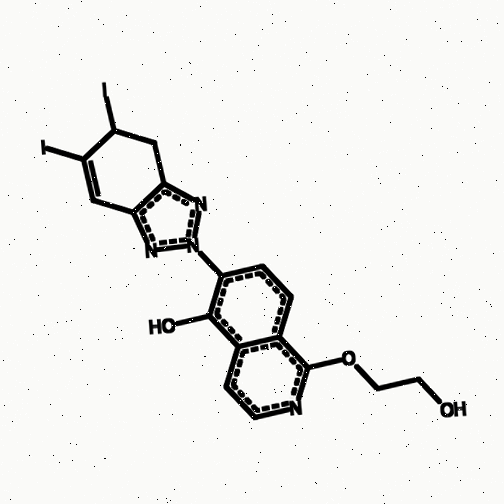 OCCOc1nccc2c(O)c(-n3nc4c(n3)CC(I)C(I)=C4)ccc12